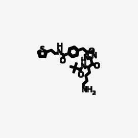 CC(C)(C)C(=O)NC(CCCCN)C(=O)c1noc(Cc2ccc(C(=O)NCCc3cccs3)cc2)n1